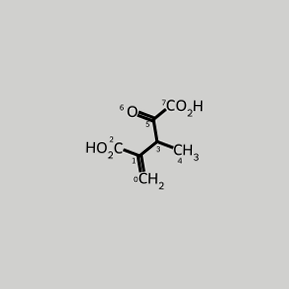 C=C(C(=O)O)C(C)C(=O)C(=O)O